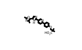 Cc1nc(C)c(-c2cnc(-c3ccc(-c4ccc(OCC(C)(C)C(=O)O)cc4)nc3)[nH]2)o1